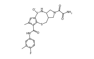 Cc1cc(NC(=O)c2c3c(cn2C)[S+]([O-])NC2CN(C(=O)C(N)=O)CC2CS3)ccc1F